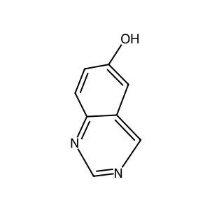 Oc1ccc2ncncc2c1